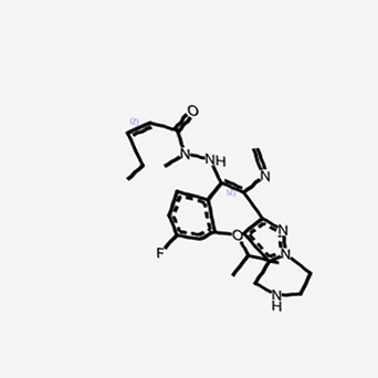 C=N/C(=C(\NN(C)C(=O)/C=C\CC)c1ccc(F)cc1OC(C)C)c1cc2n(n1)CCNC2